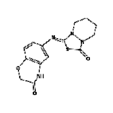 O=C1COc2ccc(N=c3sc(=O)n4n3CCCC4)cc2N1